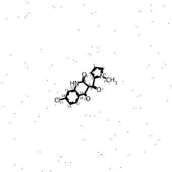 Cn1cccc1C(=O)C1C(=O)Nc2cc(Cl)ccc2C1=O